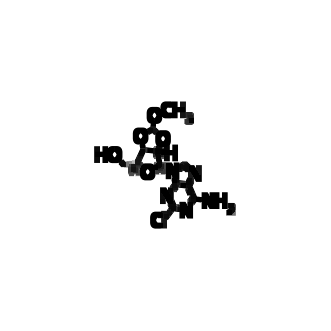 COC1OC2[C@@H](CO)O[C@@H](n3cnc4c(N)nc(Cl)nc43)[C@H]2O1